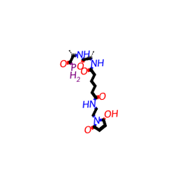 C[C@H](NC(=O)[C@H](C)NC(=O)CCCCC(=O)NCCN1C(=O)C=CC1O)C(=O)P